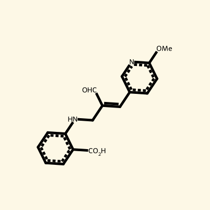 COc1ccc(/C=C(\C=O)CNc2ccccc2C(=O)O)cn1